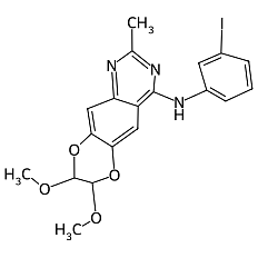 COC1Oc2cc3nc(C)nc(Nc4cccc(I)c4)c3cc2OC1OC